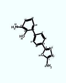 Nc1nnc(-c2ccc(-c3cccc(N)c3O)cc2)o1